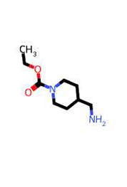 CCOC(=O)N1CCC(CN)CC1